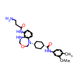 COc1cc(NC(=O)[C@H]2CC[C@@H](N3COCNc4c(NC(=O)CCN)cccc43)CC2)ccc1C